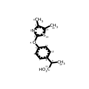 Cc1nc(Oc2ccc(C(C)C(=O)O)cc2)sc1C